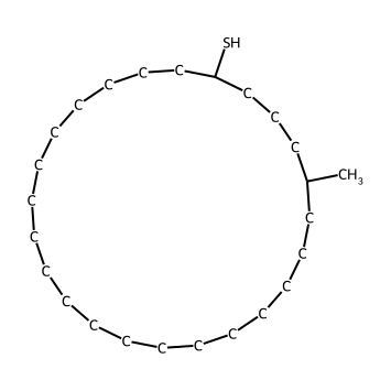 CC1CCCCCCCCCCCCCCCCCCCC(S)CCC1